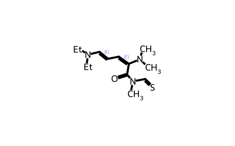 CCN(/C=C/C=C(\C(=O)N(C)C=S)N(C)C)CC